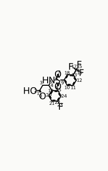 O=C(O)CC(NS(=O)(=O)c1cccc(C(F)(F)F)c1)c1ccc(F)cc1